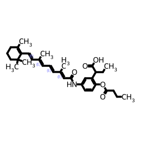 CCCC(=O)Oc1ccc(NC(=O)/C=C(C)/C=C/C=C(C)/C=C/C2=C(C)CCCC2(C)C)cc1C(CC)C(=O)O